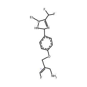 CCN1NC(c2ccc(OC/C(=C/F)CN)cc2)N=C1C(F)F